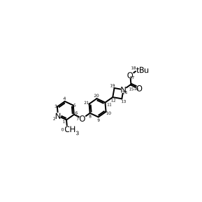 Cc1ncccc1Oc1ccc(C2CN(C(=O)OC(C)(C)C)C2)cc1